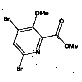 COC(=O)c1nc(Br)cc(Br)c1OC